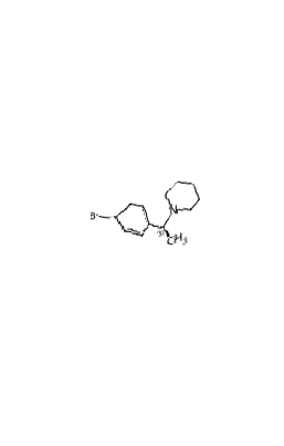 C[C@@H](C1=CCC(Br)C=C1)N1CCCCC1